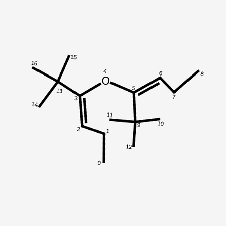 CCC=C(OC(=CCC)C(C)(C)C)C(C)(C)C